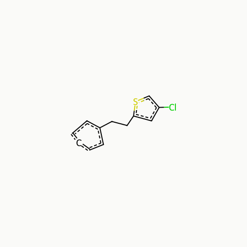 Clc1csc(CCc2ccccc2)c1